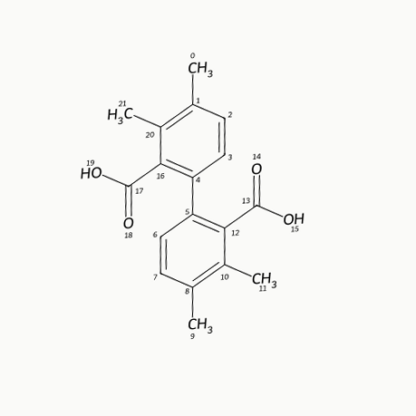 Cc1ccc(-c2ccc(C)c(C)c2C(=O)O)c(C(=O)O)c1C